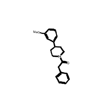 COc1cccc(C2CCN(C(=O)Cc3ccccc3)CC2)c1